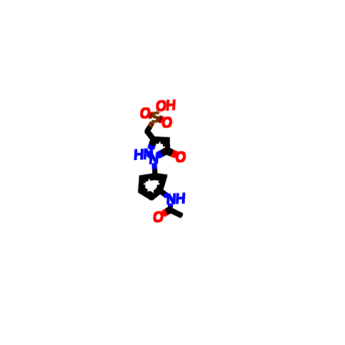 CC(=O)Nc1cccc(-n2[nH]c(CS(=O)(=O)O)cc2=O)c1